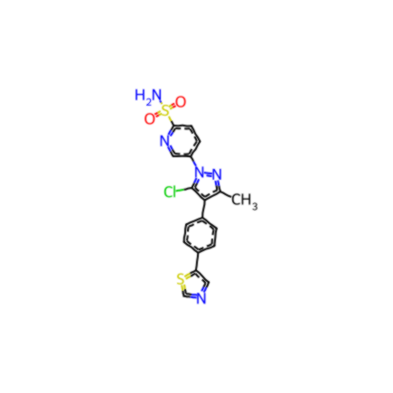 Cc1nn(-c2ccc(S(N)(=O)=O)nc2)c(Cl)c1-c1ccc(-c2cncs2)cc1